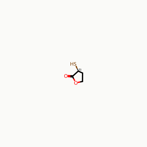 O=C1OCC[C@@H]1S